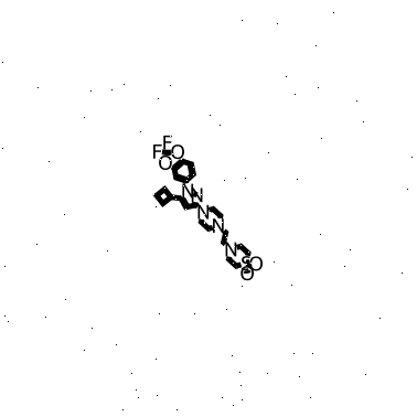 O=S1(=O)CCN(CCN2CCN(c3cc(C4CCC4)n(-c4ccc5c(c4)OC(F)(F)O5)n3)CC2)CC1